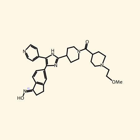 COCCN1CCC(C(=O)N2CCC(c3nc(-c4ccc5c(c4)CC/C5=N\O)c(-c4ccncc4)[nH]3)CC2)CC1